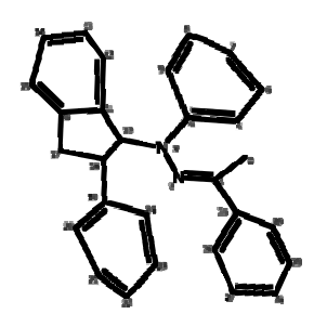 CC(=NN(c1ccccc1)C1c2ccccc2CC1c1ccccc1)c1ccccc1